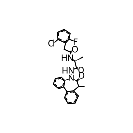 CC1C(=O)N(NC(=O)[C@H](C)NC(=O)Cc2c(F)cccc2Cl)c2ccccc2-c2ccccc21